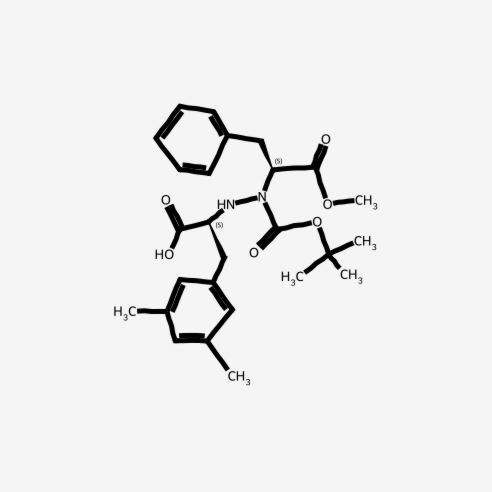 COC(=O)[C@H](Cc1ccccc1)N(N[C@@H](Cc1cc(C)cc(C)c1)C(=O)O)C(=O)OC(C)(C)C